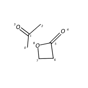 CC(C)=O.O=C1CCO1